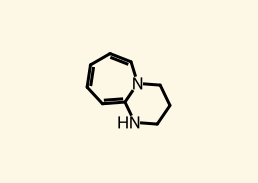 C1=CC=C2NCCCN2C=C1